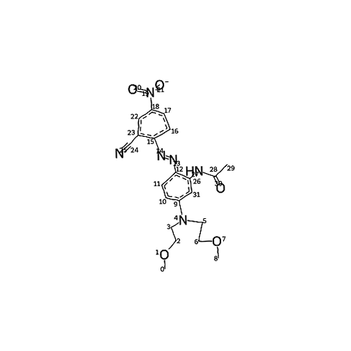 COCCN(CCOC)c1ccc(N=Nc2ccc([N+](=O)[O-])cc2C#N)c(NC(C)=O)c1